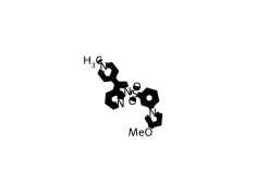 COC1CCN(c2cccc(S(=O)(=O)n3cc(C4=CCN(C)CC4)c4cccnc43)c2)C1